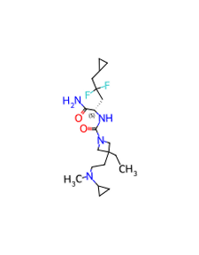 CCC1(CCN(C)C2CC2)CN(C(=O)N[C@@H](CC(F)(F)CC2CC2)C(N)=O)C1